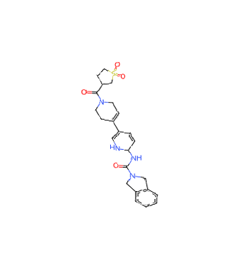 O=C(NC1C=CC(C2=CCN(C(=O)C3CCS(=O)(=O)C3)CC2)=CN1)N1Cc2ccccc2C1